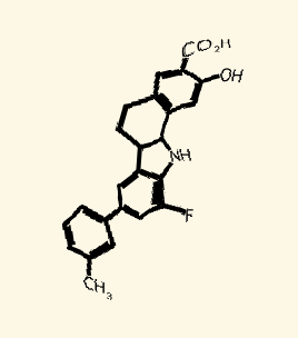 Cc1cccc(-c2cc(F)c3c(c2)C2CCc4cc(C(=O)O)c(O)cc4C2N3)c1